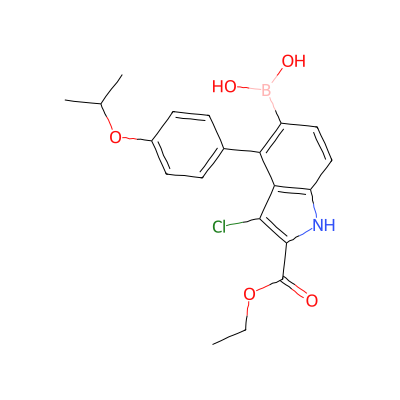 CCOC(=O)c1[nH]c2ccc(B(O)O)c(-c3ccc(OC(C)C)cc3)c2c1Cl